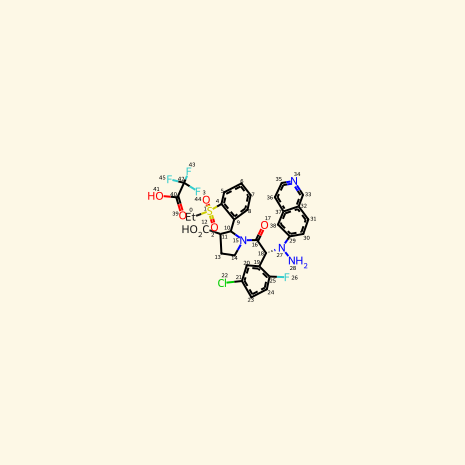 CCS(=O)(=O)c1ccccc1C1C(C(=O)O)CCN1C(=O)[C@@H](c1cc(Cl)ccc1F)N(N)c1ccc2cnccc2c1.O=C(O)C(F)(F)F